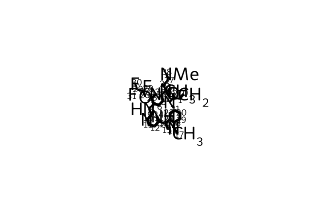 C=CC(=O)Nc1cc(Nc2nccc(-c3cn(C)c4ccccc34)n2)c(OC(F)C(F)F)nc1N(C)CCNC